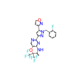 C=C1Nc2nc(-c3cc(-c4ccon4)n(Cc4ccccc4F)n3)ncc2OC1(C(F)(F)F)C(F)(F)F